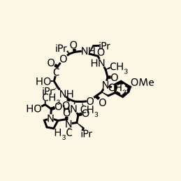 COc1ccc(C[C@H]2C(=O)O[C@H](C)[C@H](NC(=O)[C@@H](CC(C)C)N(C)C(=O)C3CCCN3C(=O)[C@H](C)O)C(=O)N[C@H](C(C)C)[C@@H](O)CC(=O)O[C@@H](C(C)C)C(=O)N[C@@H](CC(C)C)C(=O)N[C@@H](C)C(=O)N2C)cc1